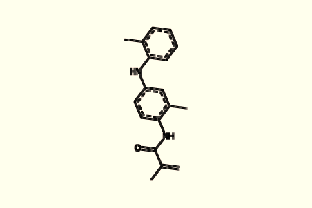 C=C(C)C(=O)Nc1ccc(Nc2ccccc2C)cc1C